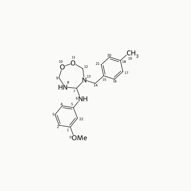 COc1cccc(NC2NCOOCN2Cc2ccc(C)cc2)c1